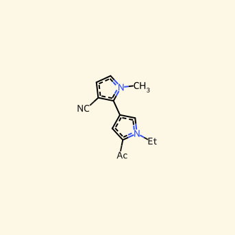 CCn1cc(-c2c(C#N)ccn2C)cc1C(C)=O